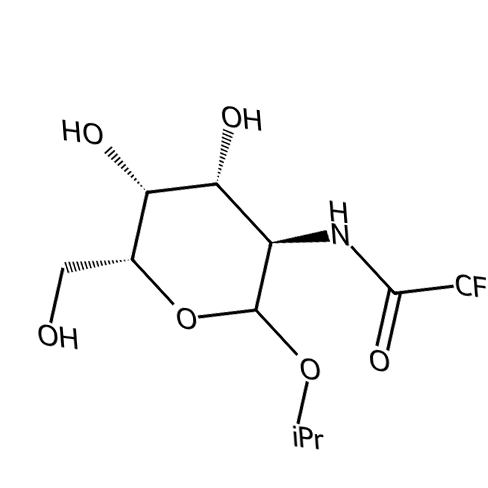 CC(C)OC1O[C@H](CO)[C@H](O)[C@H](O)[C@H]1NC(=O)C(F)(F)F